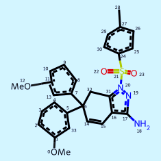 COc1cccc(C2(c3cccc(OC)c3)C=Cc3c(N)nn(S(=O)(=O)c4ccc(C)cc4)c3C2)c1